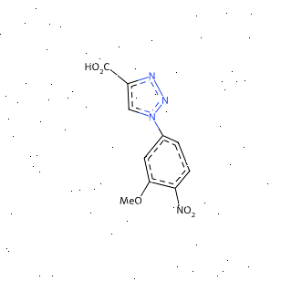 COc1cc(-n2cc(C(=O)O)nn2)ccc1[N+](=O)[O-]